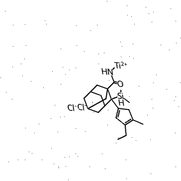 CCC1=C(C)CC(C2([SiH](C)C)C3CC4CC(C3)CC2(C(=O)[NH][Ti+2])C4)=C1.[Cl-].[Cl-]